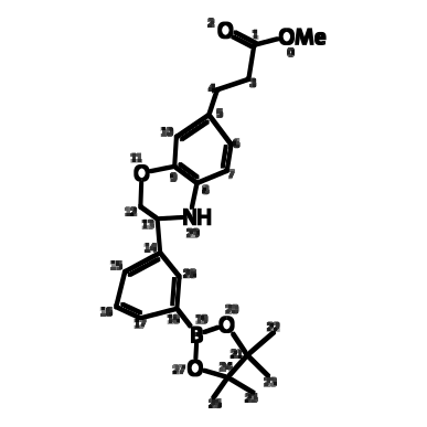 COC(=O)CCc1ccc2c(c1)OCC(c1cccc(B3OC(C)(C)C(C)(C)O3)c1)N2